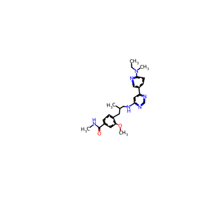 CCN(C)c1ccc(-c2cc(NCC(C)Cc3ccc(C(=O)NC)cc3OC)ncn2)cn1